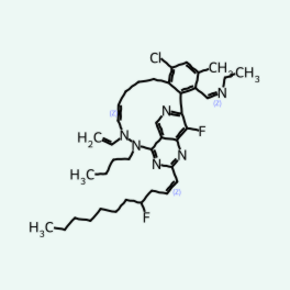 C=CN1/C=C\CCCc2c(Cl)cc(C)c(/C=N\CC)c2-c2ncc3c(nc(/C=C\CC(F)CCCCCCC)nc3c2F)N1CCCC